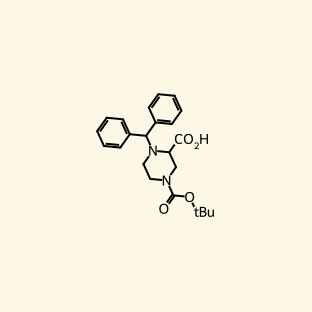 CC(C)(C)OC(=O)N1CCN(C(c2ccccc2)c2ccccc2)C(C(=O)O)C1